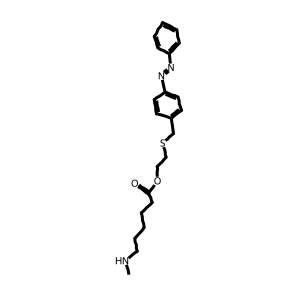 CNCCCCCC(=O)OCCSCc1ccc(N=Nc2ccccc2)cc1